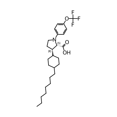 CCCCCCCCC1CCC([C@H]2CCN(c3ccc(OC(F)(F)F)cc3)[C@@H]2C(=O)O)CC1